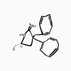 C[C@H]1CC(c2ccccc2)(c2ccccc2)C(=N)N1